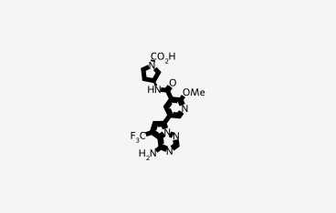 COc1ncc(-c2cc(C(F)(F)F)c3c(N)ncnn23)cc1C(=O)N[C@H]1CCN(C(=O)O)C1